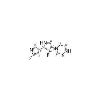 Cn1cc(-c2[nH]cc(N3CCNCC3)c2F)cn1